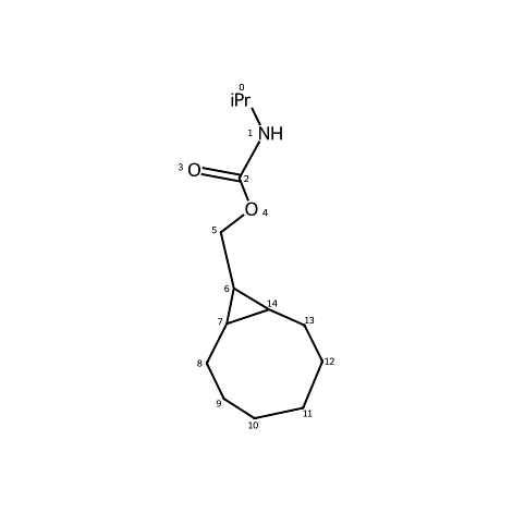 CC(C)NC(=O)OCC1C2CCCCCCC21